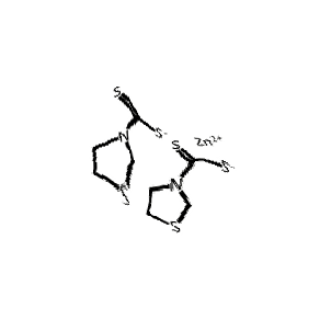 S=C([S-])N1CCSC1.S=C([S-])N1CCSC1.[Zn+2]